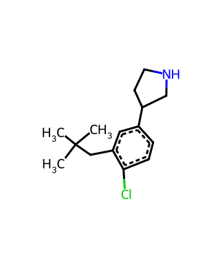 CC(C)(C)Cc1cc(C2CCNC2)ccc1Cl